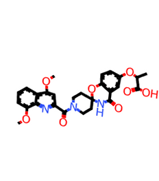 COc1cc(C(=O)N2CCC3(CC2)NC(=O)c2cc(OC(C)C(=O)O)ccc2O3)nc2c(OC)cccc12